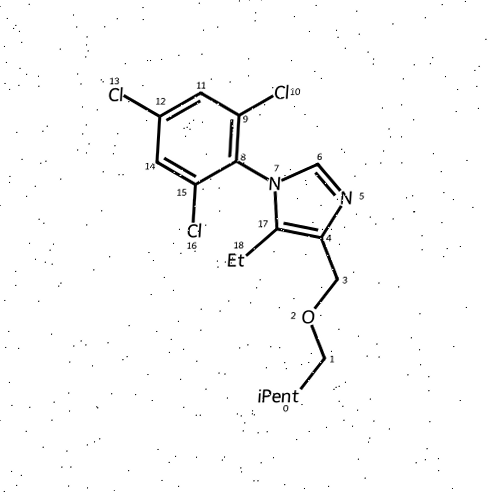 CCCC(C)COCc1ncn(-c2c(Cl)cc(Cl)cc2Cl)c1CC